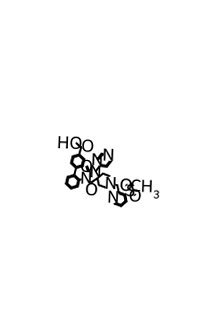 CS(=O)(=O)c1cccnc1CN1CCC2(CC1)C(=O)N(c1ccccc1-c1ccc(C(=O)O)cc1)C(=O)N2c1ccncn1